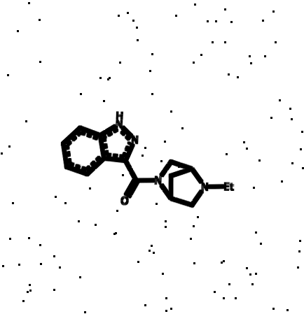 CCN1CC2CC1CN2C(=O)c1n[nH]c2ccccc12